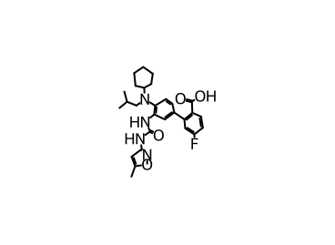 Cc1cc(NC(=O)Nc2cc(-c3cc(F)ccc3C(=O)O)ccc2N(CC(C)C)C2CCCCC2)no1